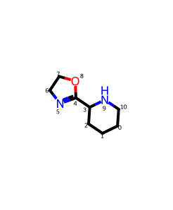 C1CCC(C2=NCCO2)NC1